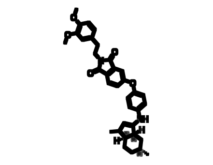 COc1ccc(CCN2C(=O)c3ccc(Oc4ccc(NC5=CC(C)[C@@H]6CC[C@@H](C)C[C@@H]56)cc4)cc3C2=O)cc1OC